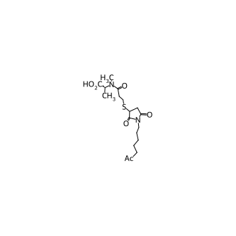 CC(=O)CCCCCN1C(=O)CC(SCCC(=O)N(C)[C@@H](C)C(=O)O)C1=O